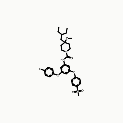 CCC(CC)CC1(OC)CCN(C(=O)Nc2cc(Oc3ccc(F)cc3)cc(Oc3ccc(S(C)(=O)=O)cc3)c2)CC1